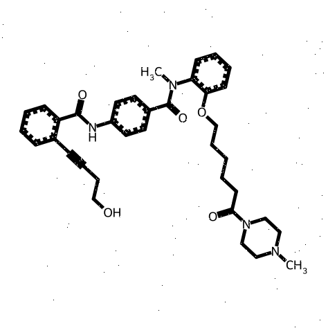 CN1CCN(C(=O)CCCCCOc2ccccc2N(C)C(=O)c2ccc(NC(=O)c3ccccc3C#CCCO)cc2)CC1